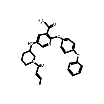 CC=CC(=O)N1CCCC(Nc2cnc(Oc3ccc(Oc4ccccc4)cc3)c(C(N)=O)c2)C1